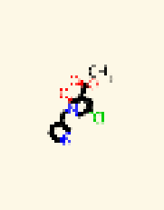 COC(=O)c1cc(Cl)cn(Cc2cccnc2)c1=O